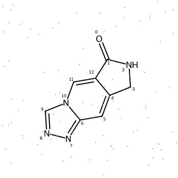 O=C1NCc2cc3nncn3cc21